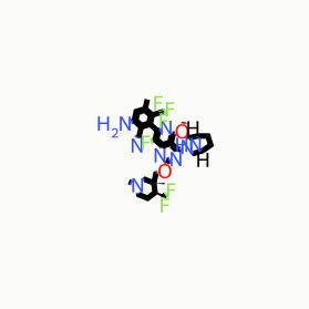 COc1nc(-c2c(C#N)c(N)cc(C)c2C(F)(F)F)c(F)c2nc(OC[C@]3(C)CN(C)CC[C@@H]3C(F)F)nc(N3C[C@H]4CC[C@@H](C3)N4)c12